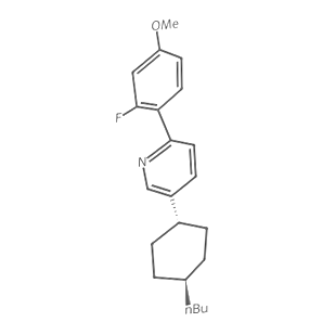 CCCC[C@H]1CC[C@H](c2ccc(-c3ccc(OC)cc3F)nc2)CC1